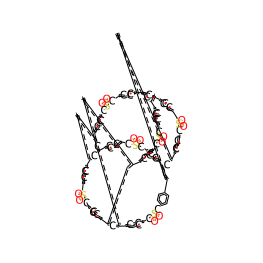 O=S1(=O)Cc2ccc(cc2)-c2cc3cc(c2)-c2ccc(cc2)CS(=O)(=O)Cc2ccc(cc2)-c2cc4cc(c2)-c2ccc(cc2)CS(=O)(=O)Cc2ccc(cc2)-c2cc(cc(c2)-c2ccc(cc2)CS(=O)(=O)Cc2ccc(cc2)-c2cc(cc(c2)-c2ccc(cc2)CS(=O)(=O)Cc2ccc-4cc2)-c2ccc(cc2)C1)-c1ccc(cc1)CS(=O)(=O)Cc1ccc-3cc1